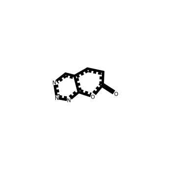 O=c1ccc2cnnnc2o1